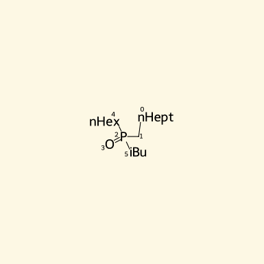 CCCCCCCCP(=O)(CCCCCC)C(C)CC